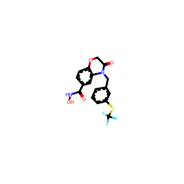 O=C(NO)c1ccc2c(c1)N(Cc1cccc(SC(F)(F)F)c1)C(=O)CO2